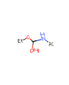 CCOC(O)NC(C)=O